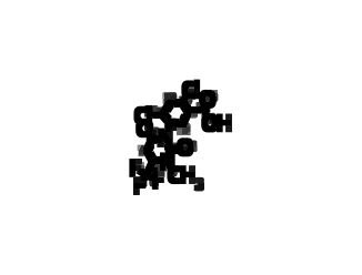 Cn1c(C(F)(F)F)cc(=O)n(-c2cc(C(=O)O)c(Cl)cc2Cl)c1=O